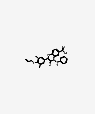 C=CCOc1c(C)cc(C(Nc2ccc(C(=N)N)cc2)C(=O)NNc2ccccc2)cc1C